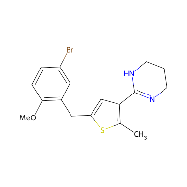 COc1ccc(Br)cc1Cc1cc(C2=NCCCN2)c(C)s1